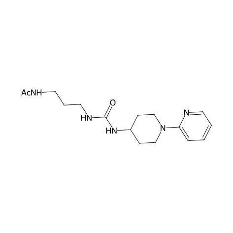 CC(=O)NCCCNC(=O)NC1CCN(c2ccccn2)CC1